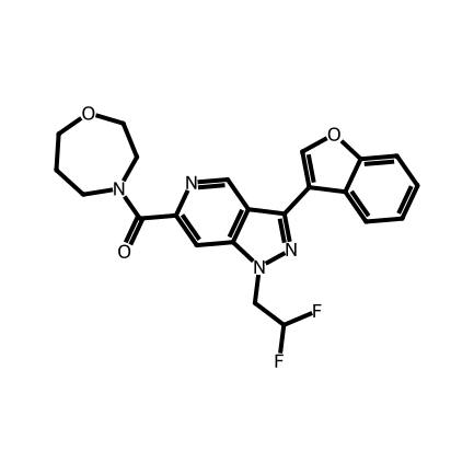 O=C(c1cc2c(cn1)c(-c1coc3ccccc13)nn2CC(F)F)N1CCCOCC1